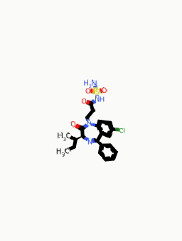 CCC(C)[C@@H]1N=C(c2ccccc2)c2cc(Cl)ccc2N(CCC(=O)NS(N)(=O)=O)C1=O